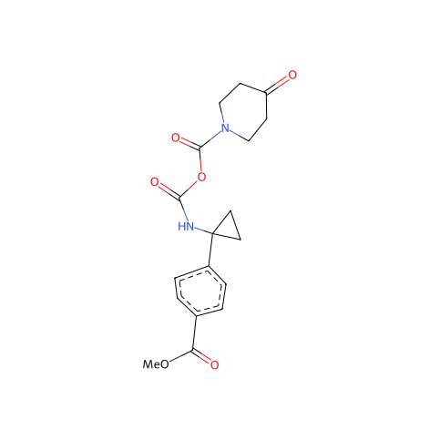 COC(=O)c1ccc(C2(NC(=O)OC(=O)N3CCC(=O)CC3)CC2)cc1